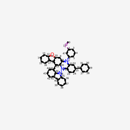 C=Pc1cccc(-n2c3cc4oc5ccccc5c4c4c3-n(c3ccc(-c5ccccc5)cc32)n2c3ccccc3c3cccc4c32)c1